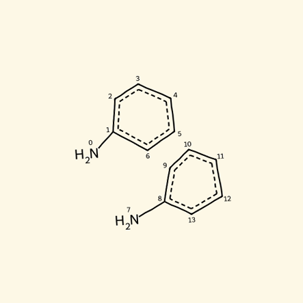 Nc1ccccc1.Nc1ccccc1